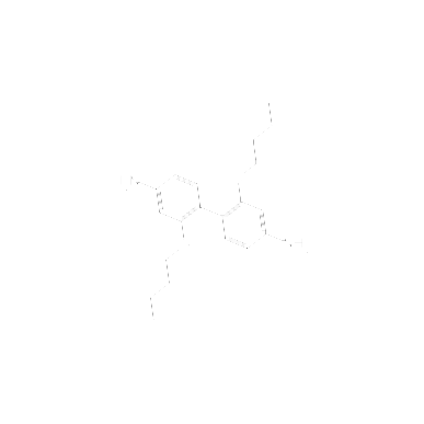 CCCCOc1cc(N)ccc1-c1ccc(N)cc1OCCCC